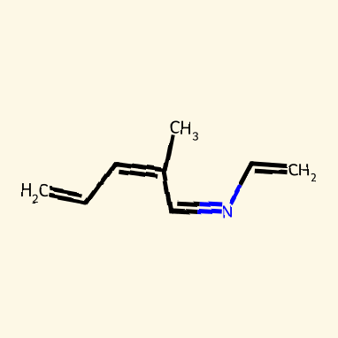 C=C/C=C(C)\C=N/C=C